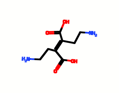 NCCC(C(=O)O)=C(CCN)C(=O)O